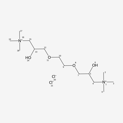 C[N+](C)(C)CC(O)COCCOCC(O)C[N+](C)(C)C.[Cl-].[Cl-]